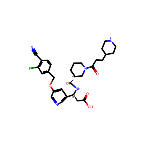 N#Cc1ccc(COc2cncc([C@H](CC(=O)O)NC(=O)[C@@H]3CCCN(C(=O)CCC4CCNCC4)C3)c2)cc1F